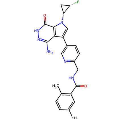 Cc1ccc(C)c(C(=O)NCc2ccc(-c3cn([C@@H]4C[C@@H]4F)c4c(=O)[nH]nc(N)c34)cn2)c1